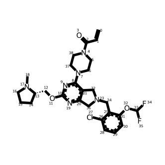 C=CC(=O)N1CCN(c2nc(OC[C@@H]3CCCN3C)nc3c2CN(Cc2c(Cl)cccc2OC(F)F)C3)CC1